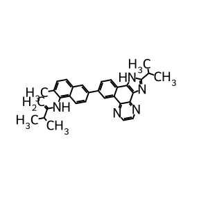 C=C(Nc1c(C)ccc2cc(-c3ccc4c(c3)c3nccnc3c3nc(C(C)C)[nH]c43)ccc12)C(C)C